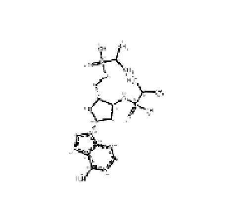 CC(C)P(=O)(O)OC[C@H]1O[C@@H](n2cnc3c(N)ncnc32)C[C@@H]1OP(=O)(O)C(C)C